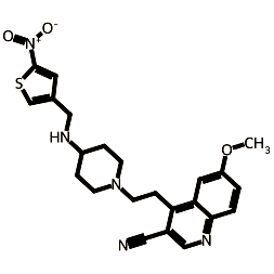 COc1ccc2ncc(C#N)c(CCN3CCC(NCc4csc([N+](=O)[O-])c4)CC3)c2c1